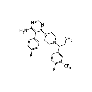 NCC(c1ccc(F)c(C(F)(F)F)c1)N1CCN(c2ncnc(N)c2-c2ccc(F)cc2)CC1